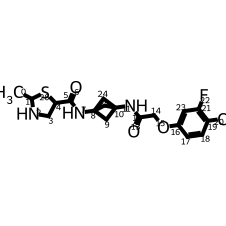 CC1NCC(C(=O)NC23CC(NC(=O)COc4ccc(Cl)c(F)c4)(C2)C3)S1